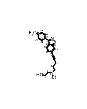 CCN(CCO)CCCC#Cc1ccc2c(-c3ccc(C(F)(F)F)cc3)nsc2c1